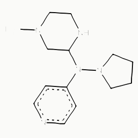 CN1CCNC(N(c2ccncc2)N2CCCC2)C1